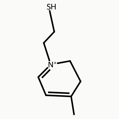 CC1=CC=[N+](CCS)CC1